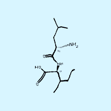 CCC(C)[C@H](NC(=O)[C@@H](N)CC(C)C)C(=O)O